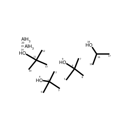 CC(C)(C)O.CC(C)(C)O.CC(C)(C)O.CC(C)O.[AlH3].[AlH3]